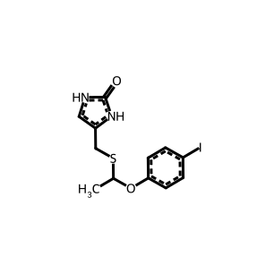 CC(Oc1ccc(I)cc1)SCc1c[nH]c(=O)[nH]1